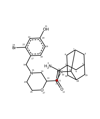 NC(=O)C12CC3CC(C1)C(NC(=O)C1CN(Cc4ccc(O)cc4Br)CCO1)C(C3)C2